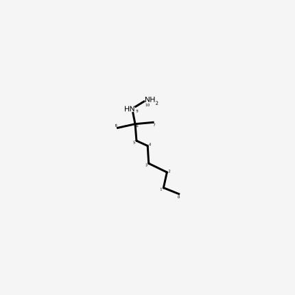 CCCCCCC(C)(C)NN